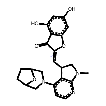 CN1CC(/C=C2\Oc3cc(O)cc(O)c3C2=O)c2c(N3CC4CCC(C3)O4)ccnc21